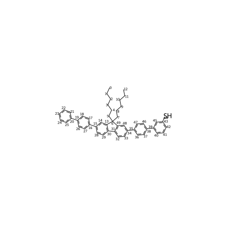 CCCCCCC1(CCCCCC)c2cc(-c3ccc(-c4ccccc4)cc3)ccc2-c2ccc(-c3ccc(-c4cccc(S)c4)cc3)cc21